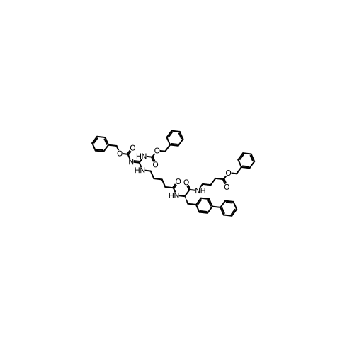 O=C(CCCCN/C(=N/C(=O)OCc1ccccc1)NC(=O)OCc1ccccc1)N[C@H](Cc1ccc(-c2ccccc2)cc1)C(=O)NCCCC(=O)OCc1ccccc1